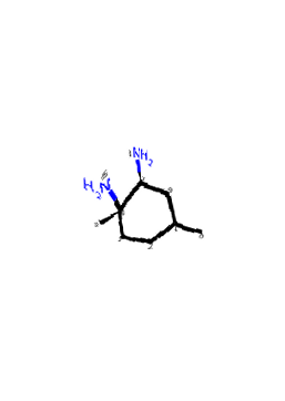 CC1CC[C@](C)(N)[C@@H](N)C1